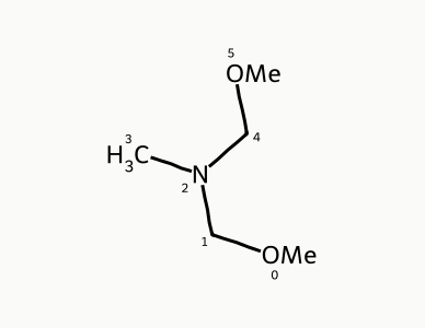 COCN(C)COC